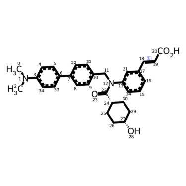 CN(C)c1ccc(-c2ccc(CN(c3cccc(/C=C/C(=O)O)c3)C(=O)[C@H]3CC[C@@H](O)CC3)cc2)cc1